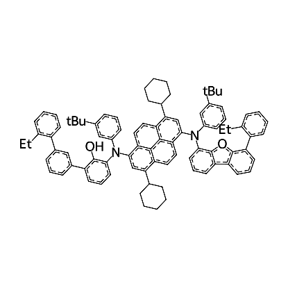 CCc1ccccc1-c1cccc(-c2cccc(N(c3cccc(C(C)(C)C)c3)c3cc(C4CCCCC4)c4ccc5c(N(c6cccc(C(C)(C)C)c6)c6cccc7c6oc6c(-c8ccccc8CC)cccc67)cc(C6CCCCC6)c6ccc3c4c65)c2O)c1